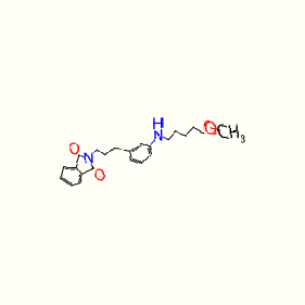 COCCCCCNc1cccc(CCCN2C(=O)c3ccccc3C2=O)c1